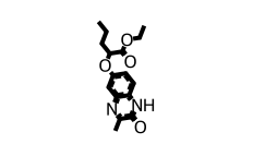 CCCC(Oc1ccc2[nH]c(=O)c(C)nc2c1)C(=O)OCC